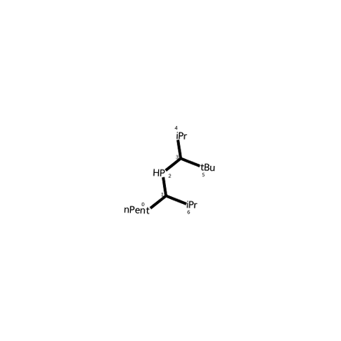 CCCCCC(PC(C(C)C)C(C)(C)C)C(C)C